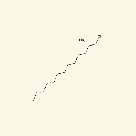 CCCCCCCCCCC[C@H](O)CO